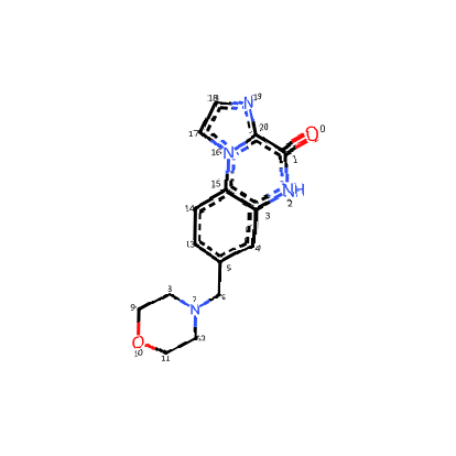 O=c1[nH]c2cc(CN3CCOCC3)ccc2n2ccnc12